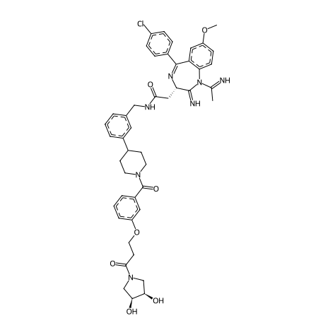 COc1ccc2c(c1)C(c1ccc(Cl)cc1)=N[C@@H](CC(=O)NCc1cccc(C3CCN(C(=O)c4cccc(OCCC(=O)N5C[C@@H](O)[C@@H](O)C5)c4)CC3)c1)C(=N)N2C(C)=N